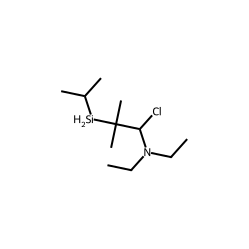 CCN(CC)C(Cl)C(C)(C)[SiH2]C(C)C